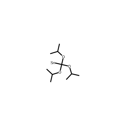 CC(C)O[C]([Sn])(OC(C)C)OC(C)C